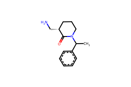 CC(c1ccccc1)N1CCC[C@@H](CN)C1=O